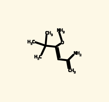 C=C(N)/C=C(\ON)C(C)(C)C